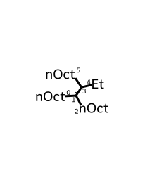 CCCCCCCC[C](CCCCCCCC)C(CC)CCCCCCCC